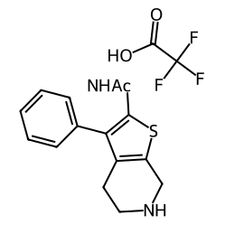 CC(=O)Nc1sc2c(c1-c1ccccc1)CCNC2.O=C(O)C(F)(F)F